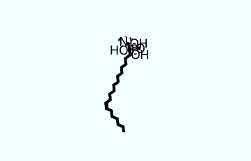 CCCCCC/C=C\CCCCCCCCCCCC(O)(C[N+](C)(C)C)P(=O)(O)O